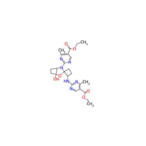 CCOC(=O)c1cnc(NC2CCC23OC2(O)CCC2N3c2ncc(C(=O)OCC)c(C)n2)nc1C